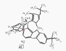 Cl.Cl.[CH2]=[Zr]([CH3])([C]1=C(C)C(C(C)(C)C)=CC1C)([c]1ccc(C)cc1)[c]1c(C(C)(C)C)ccc2c1Cc1cc(C(C)(C)C)ccc1-2